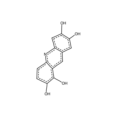 Oc1cc2cc3c(O)c(O)ccc3nc2cc1O